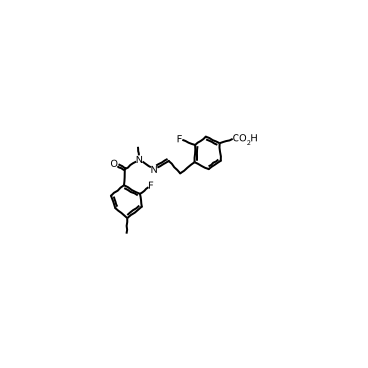 Cc1ccc(C(=O)N(C)/N=C/Cc2ccc(C(=O)O)cc2F)c(F)c1